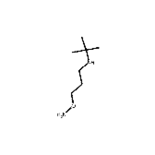 CC(C)(C)NCCCON